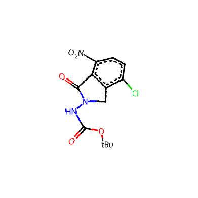 CC(C)(C)OC(=O)NN1Cc2c(Cl)ccc([N+](=O)[O-])c2C1=O